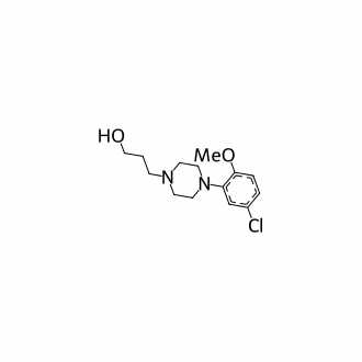 COc1ccc(Cl)cc1N1CCN(CCCO)CC1